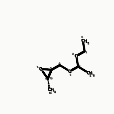 CCOC(C)OCC1O[C@H]1C